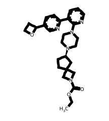 CCOC(=O)N1CC2(CC[C@@H](N3CCN(c4ncccc4-c4ccc(C5CCO5)cn4)CC3)C2)C1